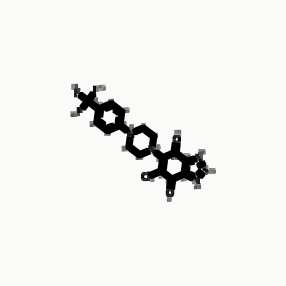 O=C1C(Cl)=C(N2CCN(c3ccc(C(F)(F)F)cc3)CC2)C(=O)c2nsnc21